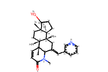 CN1C(=O)C=C[C@@]2(C)C1C(=Cc1cccnc1)C[C@@H]1[C@H]2CC[C@]2(C)C(O)CC[C@@H]12